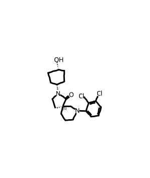 O=C1N([C@H]2CC[C@@H](O)CC2)CC[C@]12CCCN(c1cccc(Cl)c1Cl)C2